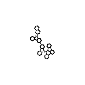 C1=CC2=CC=C(n3c4ccccc4c4cc(-c5ccc6c(c5)C5C=CC=CC5N6C5C6=c7c(cccc7=C7C=CC=CC75)-c5ccccc56)ccc43)CC2C=C1